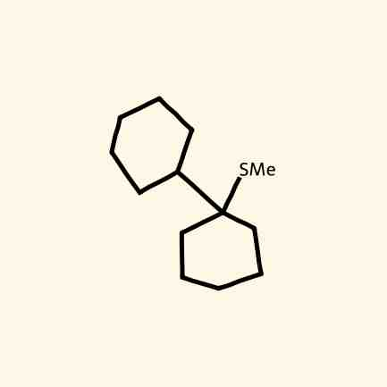 CSC1(C2CCCCC2)CCCCC1